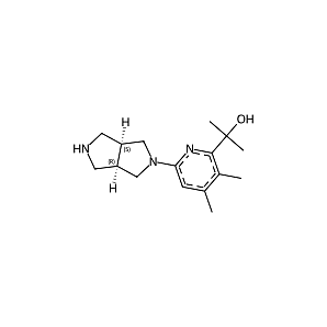 Cc1cc(N2C[C@H]3CNC[C@H]3C2)nc(C(C)(C)O)c1C